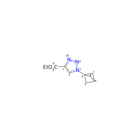 CCOC(=O)c1cn(C23CC(C2)C3)nn1